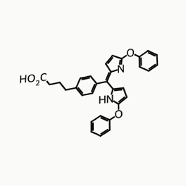 O=C(O)CCCc1ccc(/C(=C2\C=CC(Oc3ccccc3)=N2)c2ccc(Oc3ccccc3)[nH]2)cc1